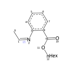 C/C=N\c1ccccc1C(=O)OCCCCCC